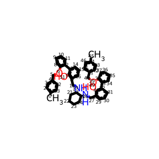 Cc1ccc(COc2ccccc2-c2cccc(CNC3CCCC[C@@H]3NCc3cccc(-c4ccccc4OCc4ccc(C)cc4)c3O)c2O)cc1